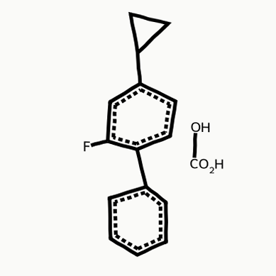 Fc1cc(C2CC2)ccc1-c1ccccc1.O=C(O)O